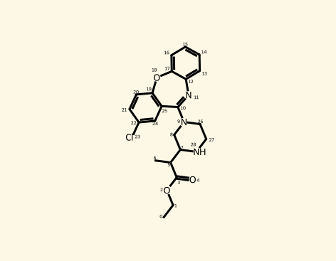 CCOC(=O)C(C)C1CN(C2=Nc3ccccc3Oc3ccc(Cl)cc32)CCN1